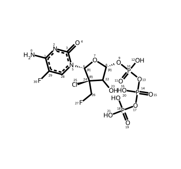 Nc1nc(=O)n([C@@H]2O[C@H](OP(=O)(O)OP(=O)(O)OP(=O)(O)O)C(O)[C@]2(Cl)CF)cc1F